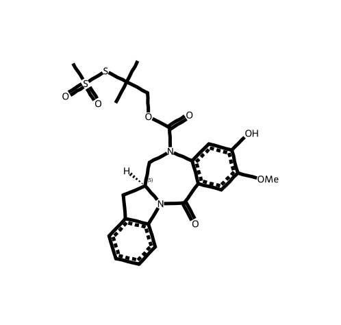 COc1cc2c(cc1O)N(C(=O)OCC(C)(C)SS(C)(=O)=O)C[C@@H]1Cc3ccccc3N1C2=O